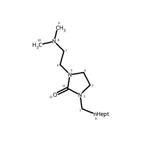 CCCCCCCCN1CCN(CCN(C)C)C1=O